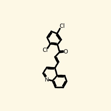 O=C(C=Cc1ccnc2ccccc12)c1cc(Cl)ccc1Cl